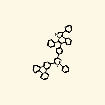 c1ccc(-c2nc(-c3ccc(-c4c(-c5ccccc5)n5ncc(-c6ccccc6)c5c5ccccc45)cc3)cc(-c3ccc4c5ccccc5c5ccccc5c4c3)n2)cc1